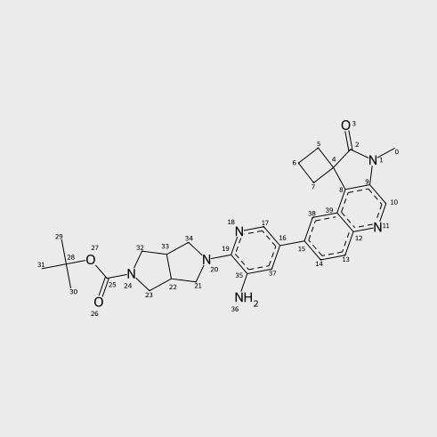 CN1C(=O)C2(CCC2)c2c1cnc1ccc(-c3cnc(N4CC5CN(C(=O)OC(C)(C)C)CC5C4)c(N)c3)cc21